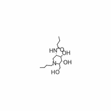 CCCCN1C[C@H](NC(=O)CCC)[C@@H](O)[C@H](O)C1CO